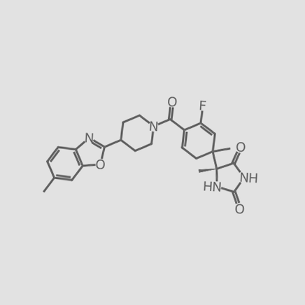 Cc1ccc2nc(C3CCN(C(=O)C4=CCC(C)([C@@]5(C)NC(=O)NC5=O)C=C4F)CC3)oc2c1